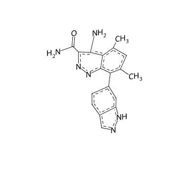 Cc1cc(C)c2c(N)c(C(N)=O)nnc2c1-c1ccc2cn[nH]c2c1